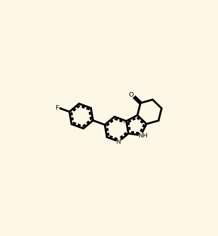 O=C1CCCc2[nH]c3ncc(-c4ccc(F)cc4)cc3c21